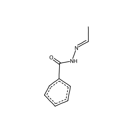 CC=NNC(=O)c1ccccc1